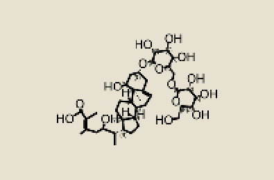 CC(CC(O)C(C)[C@H]1CC[C@H]2[C@@H]3CC=C4C[C@@H](O[C@@H]5O[C@H](CO[C@@H]6O[C@H](CO)[C@@H](O)[C@H](O)[C@H]6O)[C@@H](O)[C@H](O)[C@H]5O)C[C@H](O)[C@]4(C)[C@H]3CC[C@]12C)=C(C)C(=O)O